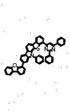 c1ccc(-c2cc(-c3cccc4c3sc3c4ccc4c5ccc(-c6cccc7c6oc6ccccc67)cc5n(-c5ccccc5)c43)nc(-c3ccccc3)n2)cc1